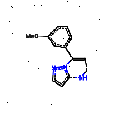 COc1cccc(C2=CCNc3ccnn32)c1